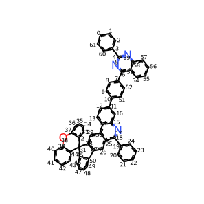 c1ccc(-c2nc(-c3ccc(-c4ccc5c(c4)nc(-c4ccccc4)c4cc6c(cc45)C4(c5ccccc5Oc5ccccc54)c4ccccc4-6)cc3)c3ccccc3n2)cc1